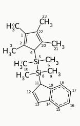 CC1=C(C)C([Si](C)(C)[Si](C)(C)C2C=Cc3ccccc32)C(C)=C1C